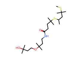 CSC(C)(C)CC(C)SC(C)(C)CCC(=O)NCCC(C)(C)OCCC(C)(C)O